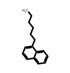 [CH2]CCCCCc1cccc2ccccc12